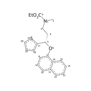 CCOC(=O)N(C)CC[C@H](Oc1cccc2ccccc12)c1cccs1